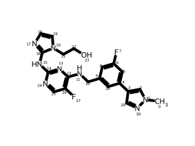 Cn1cc(-c2cc(F)cc(CNc3nc(Nc4nccn4CCO)ncc3F)c2)cn1